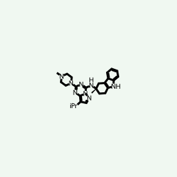 CC(C)c1cnn2c(N[C@@]3(C)CCc4[nH]c5ccccc5c4C3)nc(N3CCN(C)CC3)nc12